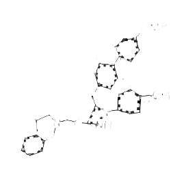 COc1ccc(-c2ccc(Cc3c(CCN4CCc5ccccc5C4)[nH]n3-c3ccc(C)cc3)cc2)cc1